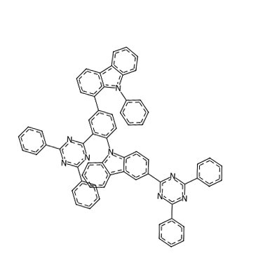 c1ccc(-c2nc(-c3ccccc3)nc(-c3ccc4c(c3)c3ccccc3n4-c3ccc(-c4cccc5c6ccccc6n(-c6ccccc6)c45)cc3-c3nc(-c4ccccc4)nc(-c4ccccc4)n3)n2)cc1